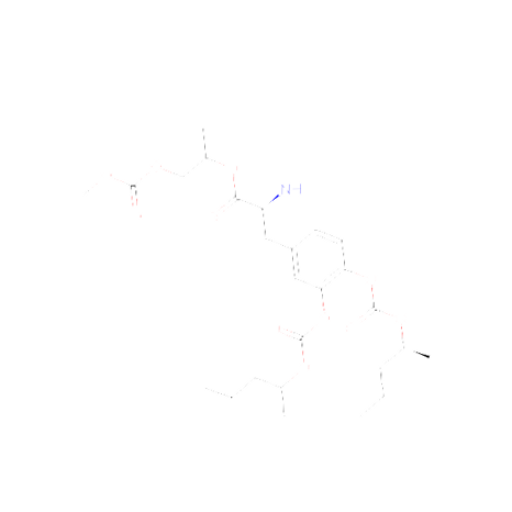 CCCC(C)OC(=O)Oc1cc(C[C@H](N)C(=O)OC(C)COC(=O)OC)ccc1OC(=O)O[C@@H](C)CCC